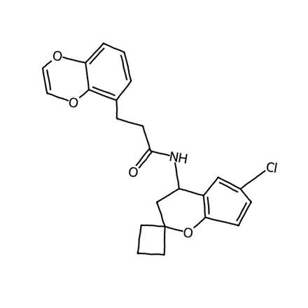 O=C(CCc1cccc2c1OC=CO2)NC1CC2(CCC2)Oc2ccc(Cl)cc21